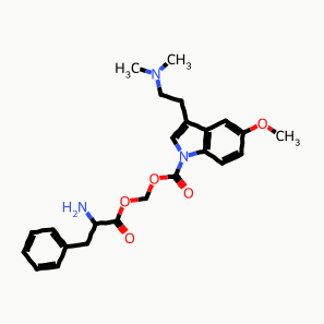 COc1ccc2c(c1)c(CCN(C)C)cn2C(=O)OCOC(=O)C(N)Cc1ccccc1